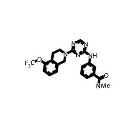 CNC(=O)c1cccc(Nc2ncnc(N3CCc4c(cccc4OC(F)(F)F)C3)n2)c1